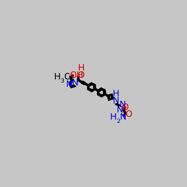 C[C@H](O)c1nccn1C(C#Cc1ccc(-c2ccc(C3CC(NCc4noc(C(N)=O)n4)C3)cc2)cc1)CO